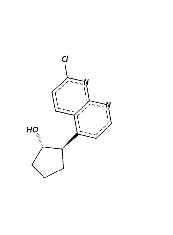 O[C@H]1CCC[C@@H]1c1ccnc2nc(Cl)ccc12